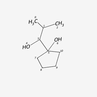 CC(C)C(O)C1(O)CCCC1